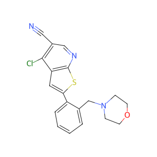 N#Cc1cnc2sc(-c3ccccc3CN3CCOCC3)cc2c1Cl